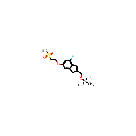 CC(C)(C)[Si](C)(C)OCC1=Cc2c(F)cc(OCCS(C)(=O)=O)cc2C1